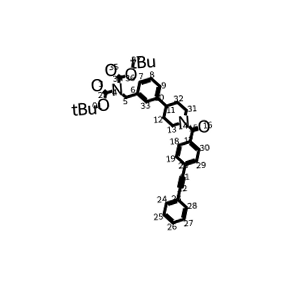 CC(C)(C)OC(=O)N(Cc1cccc(C2CCN(C(=O)c3ccc(C#Cc4ccccc4)cc3)CC2)c1)C(=O)OC(C)(C)C